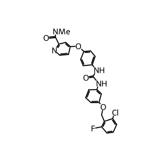 CNC(=O)c1cc(Oc2ccc(NC(=O)Nc3cccc(OCc4c(F)cccc4Cl)c3)cc2)ccn1